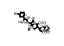 O=C([O-])CC(Sc1nnn[nH]1)C1=C(C(=O)[O-])N2C(=O)C(NC(=O)C(O)c3cccc(Br)c3)[C@@H]2SC1.[K+].[K+]